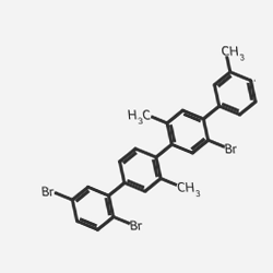 Cc1[c]ccc(-c2cc(C)c(-c3ccc(-c4cc(Br)ccc4Br)cc3C)cc2Br)c1